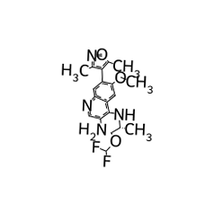 COc1cc2c(N[C@H](C)COC(F)F)c(N)cnc2cc1-c1c(C)noc1C